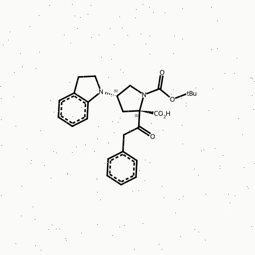 CC(C)(C)OC(=O)N1C[C@@H](N2CCc3ccccc32)C[C@@]1(C(=O)O)C(=O)Cc1ccccc1